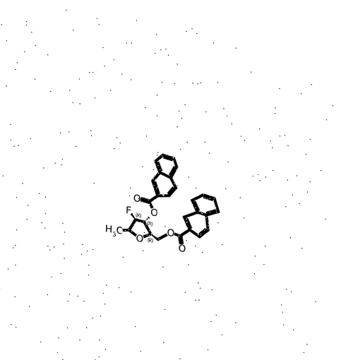 CC1O[C@H](COC(=O)c2ccc3ccccc3c2)[C@@H](OC(=O)c2ccc3ccccc3c2)[C@@H]1F